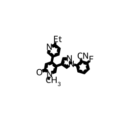 CCc1ccc(-c2cc(=O)n(C)cc2-c2cnn(-c3cccc(F)c3C#N)c2)cn1